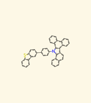 c1ccc2c(c1)ccc1c3c4ccccc4c4ccccc4c3n(-c3ccc(-c4ccc5sc6ccccc6c5c4)cc3)c21